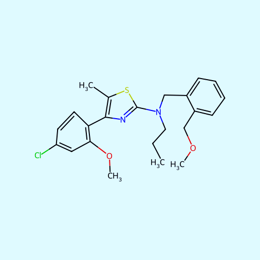 CCCN(Cc1ccccc1COC)c1nc(-c2ccc(Cl)cc2OC)c(C)s1